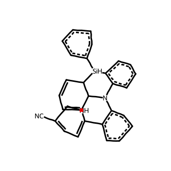 N#CC1=CC=C(c2ccccc2N2c3ccccc3[SiH](c3ccccc3)C3C=CC=CC32)NC1